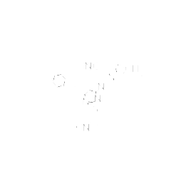 C=CC(=O)N1CCN(c2nc(OC[C@@H]3CCCN3C)nc3c2CCC2(Cc4ccccc4C2)C3)C[C@@H]1CC#N